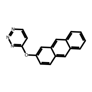 [c]1c(Oc2ccnnn2)ccc2cc3ccccc3cc12